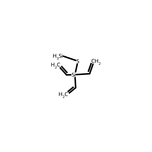 C=C[Si](C=C)(C=C)S[SiH3]